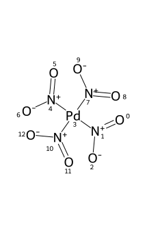 O=[N+]([O-])[Pd]([N+](=O)[O-])([N+](=O)[O-])[N+](=O)[O-]